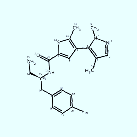 Cc1cnn(C)c1-c1cc(C(=O)N[C@H](CN)Cc2ccc(F)cc2)sc1C